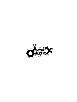 CC1(C)COP(=O)(CN2C(=O)c3ccccc3C2=O)OC1